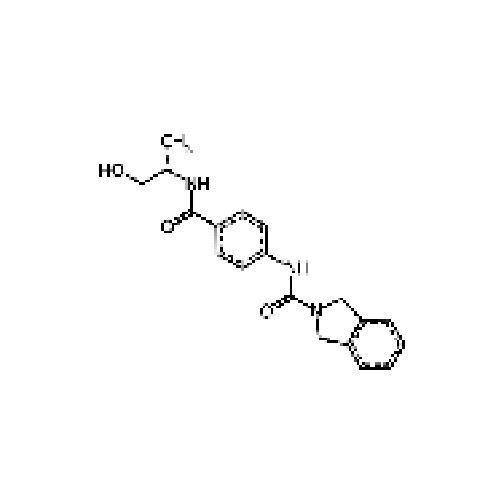 C[C@@H](CO)NC(=O)c1ccc(NC(=O)N2Cc3ccccc3C2)cc1